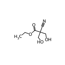 CCOC(=O)C(C#N)(CO)CO